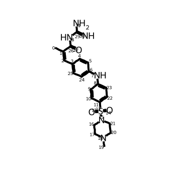 CC(=Cc1ccc(Nc2ccc(S(=O)(=O)N3CCN(C)CC3)cc2)cc1)C(=O)NC(=N)N